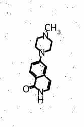 CN1CCN(c2ccc3c(=O)[nH]ccc3c2)CC1